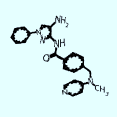 CN(Cc1ccc(C(=O)Nc2nn(-c3ccccc3)cc2N)cc1)c1ccncc1